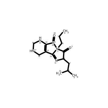 CCC[N+]12C(=O)C(CC(C)C)N=C1C1=C(NCNC1)[N+]2=O